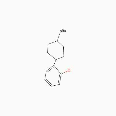 CCCCC1CCC(c2ccccc2[O])CC1